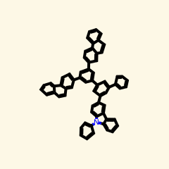 c1ccc(-c2cc(-c3cc(-c4ccc5c(ccc6ccccc65)c4)cc(-c4ccc5c(ccc6ccccc65)c4)c3)cc(-c3ccc4c(c3)c3ccccc3n4-c3ccccc3)c2)cc1